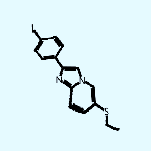 CCSc1ccc2nc(-c3ccc(I)cc3)cn2c1